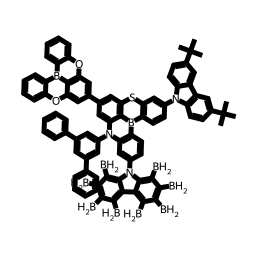 Bc1c(B)c(B)c2c(c1B)c1c(B)c(B)c(B)c(B)c1n2-c1ccc2c(c1)N(c1cc(-c3ccccc3)cc(-c3ccccc3)c1)c1cc(-c3cc4c5c(c3)Oc3ccccc3B5c3ccccc3O4)cc3c1B2c1ccc(-n2c4ccc(C(C)(C)C)cc4c4cc(C(C)(C)C)ccc42)cc1S3